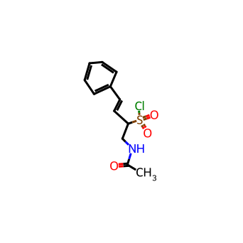 CC(=O)NCC(C=Cc1ccccc1)S(=O)(=O)Cl